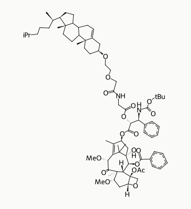 CO[C@H]1C(=O)[C@]2(C)[C@@H](OC)C[C@H]3OC[C@@]3(OC(C)=O)[C@H]2[C@H](OC(=O)c2ccccc2)[C@]2(O)C[C@H](OC(=O)[C@H](OC(=O)CNC(=O)COCCO[C@H]3CC[C@@]4(C)C(=CCC5C4CC[C@@]4(C)C5CC[C@@H]4[C@H](C)CCCC(C)C)C3)[C@@H](NC(=O)OC(C)(C)C)c3ccccc3)C(C)=C1C2(C)C